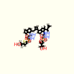 C=C(c1c(C)cc2c(c1NC(=O)NS(=O)(=O)c1cc(C(C)(C)O)co1)CCC2C1CCC1Cc1ccc2c(c1NC(=O)NS(=O)(=O)c1ccc(C(C)(C)O)s1)CCC2)C1CC1